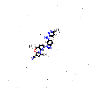 CC(=O)c1ccc(-n2cnc3ccc(Nc4ccc(C)nn4)cc32)nc1N1C[C@H](C#N)C[C@@H]1C